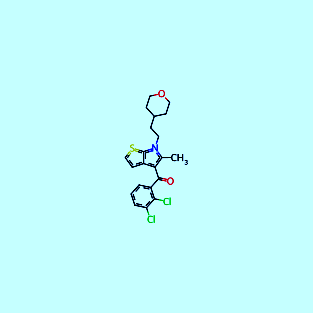 Cc1c(C(=O)c2cccc(Cl)c2Cl)c2ccsc2n1CCC1CCOCC1